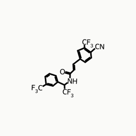 N#Cc1ccc(/C=C/C(=O)NC(c2cccc(C(F)(F)F)c2)C(F)(F)F)cc1C(F)(F)F